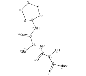 CCCCCCCCCCC(=O)N(O)C(=O)NC(C(=O)NC1CCCCC1)C(C)(C)C